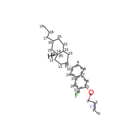 C/C=C/COc1cc2ccc([C@@H]3CC[C@@H]4CC(CCC)CCC4C3)cc2cc1F